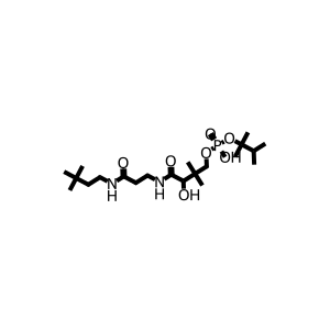 CC(C)C(C)(C)OP(=O)(O)OCC(C)(C)C(O)C(=O)NCCC(=O)NCCC(C)(C)C